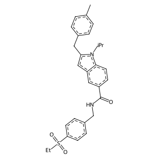 CCS(=O)(=O)c1ccc(CNC(=O)c2ccc3c(c2)cc(Cc2ccc(C)cc2)n3C(C)C)cc1